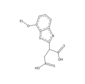 CCOc1cccc2nc(C(CC(O)=S)C(O)=S)sc12